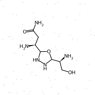 NC(=O)C[C@H](N)C1NNC([C@@H](N)CO)O1